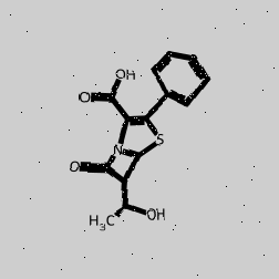 C[C@H](O)C1C(=O)N2C(C(=O)O)=C(c3ccccc3)SC12